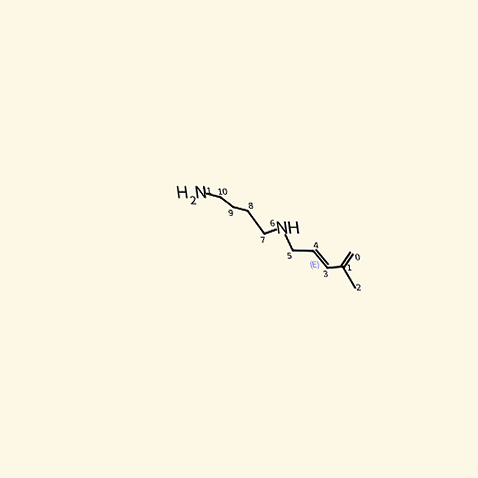 C=C(C)/C=C/CNCCCCN